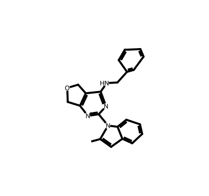 Cc1cc2ccccc2n1-c1nc2c(c(NCc3ccccc3)n1)COC2